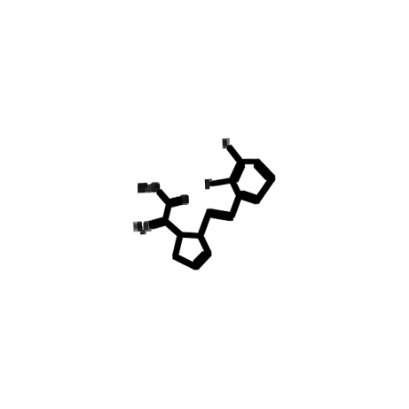 C=C(C(=O)OC)C1CC=CC1C=Cc1cccc(F)c1F